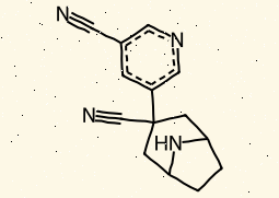 N#Cc1cncc(C2(C#N)CC3CCC(C2)N3)c1